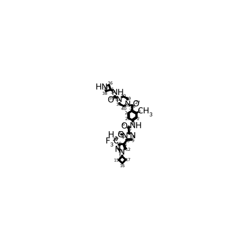 Cc1cc(NC(=O)c2ncc(-c3cn(C4CCC4)nc3C(F)(F)F)n2C)ccc1C(=O)N1CCN(C(=O)NC2CNC2)CC1